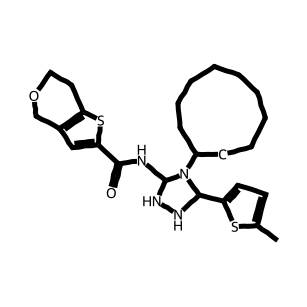 Cc1ccc(C2NNC(NC(=O)c3cc4c(s3)CCOC4)N2C2CCCCCCCCC2)s1